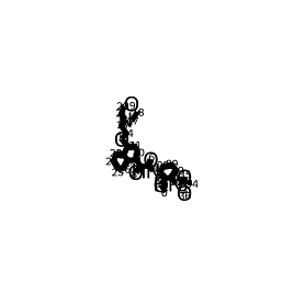 COc1c(NC(=O)C(=O)c2ccc(OCCN3CCOCC3)c3ccccc23)cccc1NS(C)(=O)=O